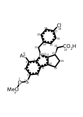 COOSc1cc(C(C)=O)c2c(c1)c1c(n2Cc2ccc(Cl)cc2)[C@@H](CC(=O)O)CC1